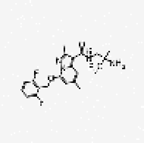 Cc1cc(OCc2c(F)cccc2F)n2nc(C)c(C(=O)NCC(C)(N)C(F)(F)F)c2c1